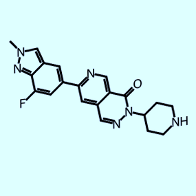 Cn1cc2cc(-c3cc4cnn(C5CCNCC5)c(=O)c4cn3)cc(F)c2n1